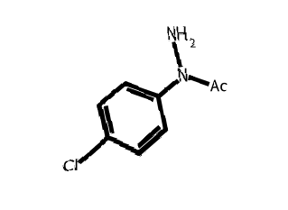 CC(=O)N(N)c1ccc(Cl)cc1